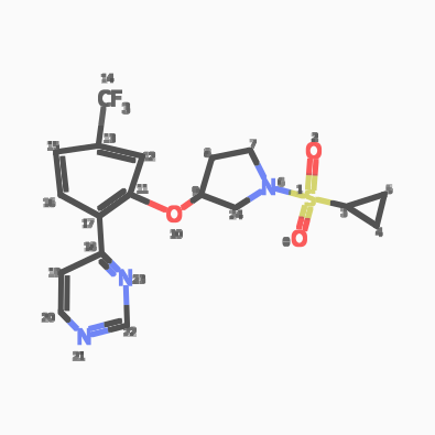 O=S(=O)(C1CC1)N1CCC(Oc2cc(C(F)(F)F)ccc2-c2ccncn2)C1